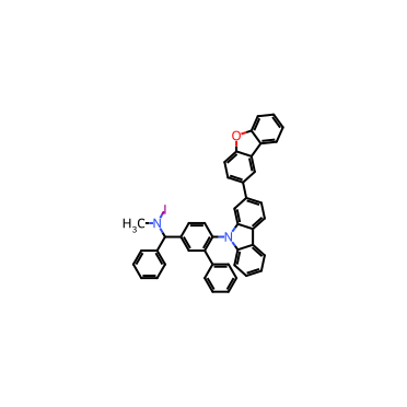 CN(I)C(c1ccccc1)c1ccc(-n2c3ccccc3c3ccc(-c4ccc5oc6ccccc6c5c4)cc32)c(-c2ccccc2)c1